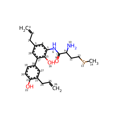 C=CCc1cc(NC(=O)C(N)CCSC)c(O)c(-c2ccc(O)c(CC=C)c2)c1